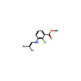 CC(=O)C(=CNc1cccc(C(=O)OC(C)C)c1Cl)C(C)=O